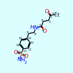 CCC(=O)CCC(=O)NCCc1ccc(S(N)(=O)=O)cc1